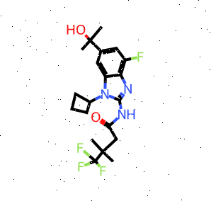 CC(C)(O)c1cc(F)c2nc(NC(=O)CC(C)(C)C(F)(F)F)n(C3CCC3)c2c1